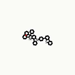 c1ccc(C2=Nc3c(ccc4c3c3ccccc3n4-c3ccc(-c4cccc5c4sc4ccccc45)cc3)C2(c2ccccc2)c2ccccc2)cc1